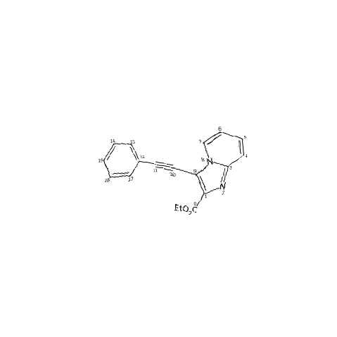 CCOC(=O)c1nc2ccccn2c1C#Cc1ccccc1